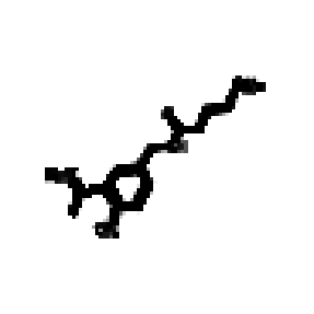 CNC(C)c1cc(CNC(=O)CCCOC)ccc1N=O